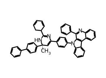 C[C@@]1(c2ccc(-c3ccccc3)cc2)C=C(c2ccc(-n3c4ccccc4c4c5ccccc5nc(-c5ccccc5)c43)cc2)N=C(C2C=CC=CC2)N1